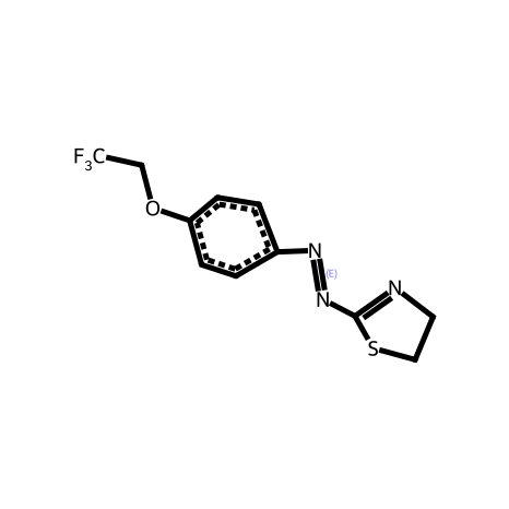 FC(F)(F)COc1ccc(/N=N/C2=NCCS2)cc1